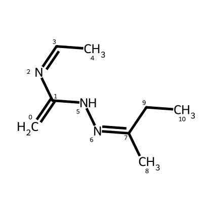 C=C(/N=C\C)N/N=C(/C)CC